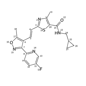 Cc1nc(C=Cc2c(-c3ccc(F)cn3)noc2C)sc1C(=O)NCC1CC1